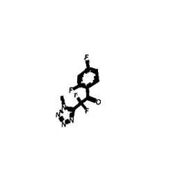 Cn1nnnc1C(F)(F)C(=O)c1ccc(F)cc1F